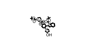 CC(C)(C)OC(=O)N1CCCN(S(=O)(=O)c2ccc(N3CC[C@H](O)C3)c(-c3cc4ccccc4n3C(=O)OC(C)(C)C)c2)C1